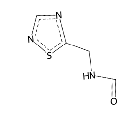 O=CNCc1ncns1